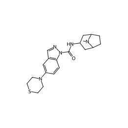 CN1C2CCC1CC(NC(=O)n1ncc3cc(N4CCSCC4)ccc31)C2